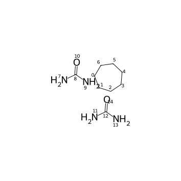 C1CCCCCC1.NC(N)=O.NC(N)=O